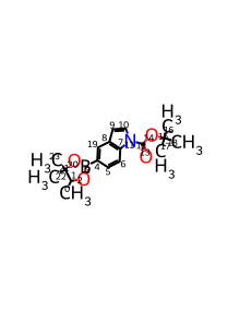 CC1OB(c2ccc3c(ccn3C(=O)OC(C)(C)C)c2)OC1(C)C